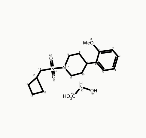 COc1ccccc1C1CCN(S(=O)(=O)CC2CCC2)CC1.O=C(O)NO